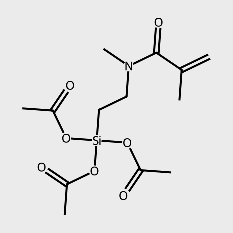 C=C(C)C(=O)N(C)CC[Si](OC(C)=O)(OC(C)=O)OC(C)=O